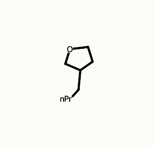 [CH2]CCCC1CCOC1